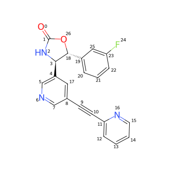 O=C1N[C@H](c2cncc(C#Cc3ccccn3)c2)[C@@H](c2cccc(F)c2)O1